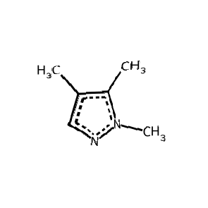 Cc1cnn(C)c1C